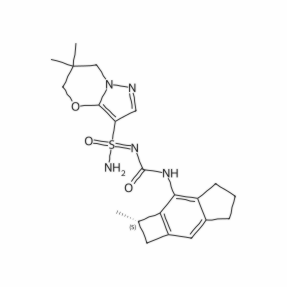 C[C@H]1Cc2cc3c(c(NC(=O)N=S(N)(=O)c4cnn5c4OCC(C)(C)C5)c21)CCC3